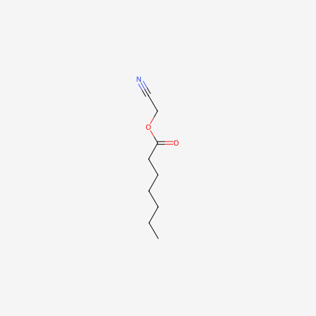 CCCCCCC(=O)OCC#N